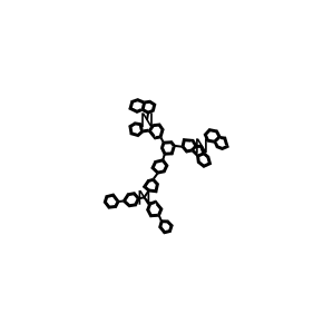 c1ccc(-c2ccc(N(c3ccc(-c4ccccc4)cc3)c3ccc(-c4ccc(-c5cc(-c6ccc7c(c6)c6ccccc6n7-c6cccc7ccccc67)cc(-c6ccc7c(c6)c6ccccc6n7-c6cccc7ccccc67)c5)cc4)cc3)cc2)cc1